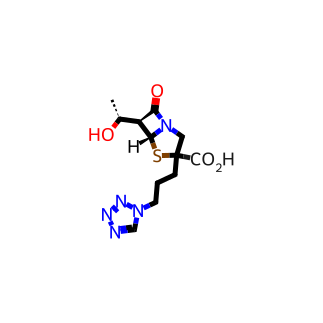 C[C@@H](O)[C@H]1C(=O)N2CC(CCCn3cnnn3)(C(=O)O)S[C@H]12